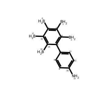 Bc1c(B)c(B)c(-c2ccc(N)cc2)c(B)c1B